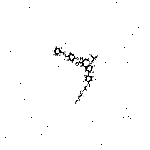 CCCCOCCOc1ccc(-c2ccc3c(c2)C=C(C(=O)Nc2ccc(SCc4ccccn4)cc2)CCN3CC(C)C)cc1